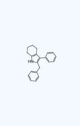 c1ccc(Cc2[nH]c3c(c2-c2ccccc2)CCCC3)cc1